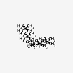 CC(=O)[O-].CC(=O)[O-].CC(=O)[O-].C[N+](C)(C)C.C[N+](C)(C)C.C[N+](C)(C)C.C[N+](C)(C)C.[BH4-]